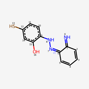 N=C1C=CC=C/C1=N/Nc1ccc(S)cc1O